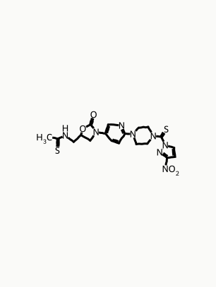 CC(=S)NCC1CN(c2ccc(N3CCN(C(=S)n4ccc([N+](=O)[O-])n4)CC3)nc2)C(=O)O1